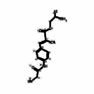 BC(CC)COC(=O)/C(C#N)=C/c1ccc(NC(=O)CC(C)(C)C)cc1